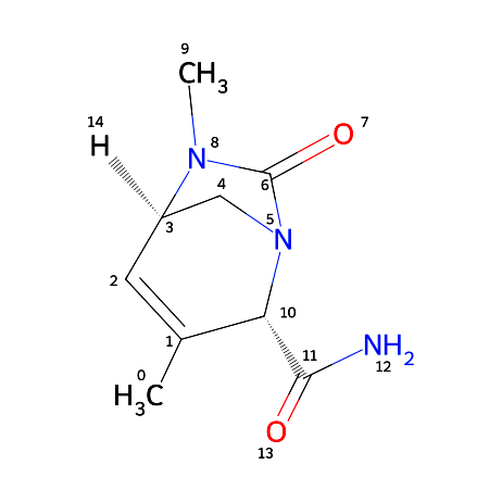 CC1=C[C@@H]2CN(C(=O)N2C)[C@@H]1C(N)=O